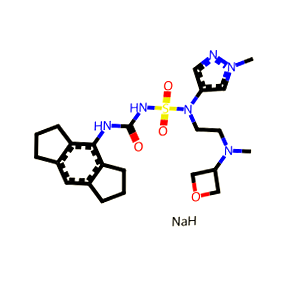 CN(CCN(c1cnn(C)c1)S(=O)(=O)NC(=O)Nc1c2c(cc3c1CCC3)CCC2)C1COC1.[NaH]